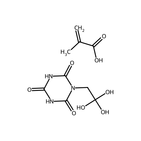 C=C(C)C(=O)O.O=c1[nH]c(=O)n(CC(O)(O)O)c(=O)[nH]1